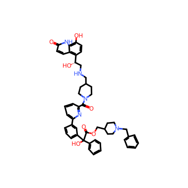 O=C(c1cccc(-c2cccc(C(O)(C(=O)OCC3CCN(Cc4ccccc4)CC3)c3ccccc3)c2)n1)N1CCC(CNC[C@H](O)c2ccc(O)c3[nH]c(=O)ccc23)CC1